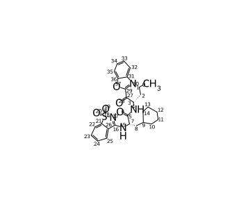 CCC[C@H](NC(=O)[C@H](CC1CCCCC1)NC1=NS(=O)(=O)c2ccccc21)C(=O)c1nc2ccccc2o1